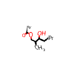 C=C(COC(=O)C(C)C)C(O)CC(C)C